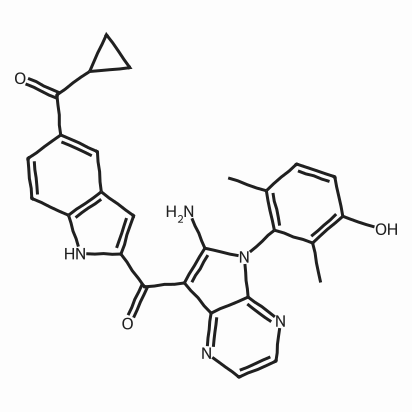 Cc1ccc(O)c(C)c1-n1c(N)c(C(=O)c2cc3cc(C(=O)C4CC4)ccc3[nH]2)c2nccnc21